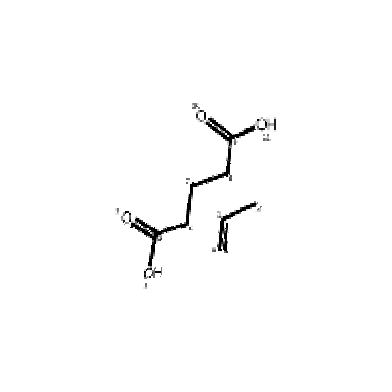 C=CC.O=C(O)CCCC(=O)O